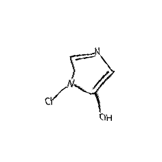 Oc1cncn1Cl